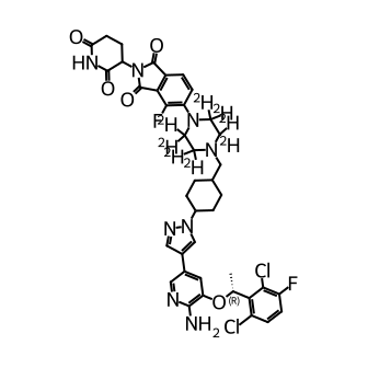 [2H]C1([2H])N(CC2CCC(n3cc(-c4cnc(N)c(O[C@H](C)c5c(Cl)ccc(F)c5Cl)c4)cn3)CC2)C([2H])([2H])C([2H])([2H])N(c2ccc3c(c2F)C(=O)N(C2CCC(=O)NC2=O)C3=O)C1([2H])[2H]